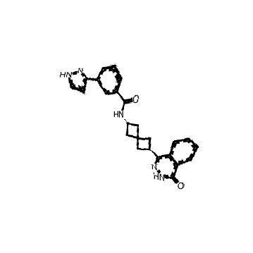 O=C(N[C@H]1CC2(C1)C[C@H](c1n[nH]c(=O)c3ccccc31)C2)c1cccc(-c2cc[nH]n2)c1